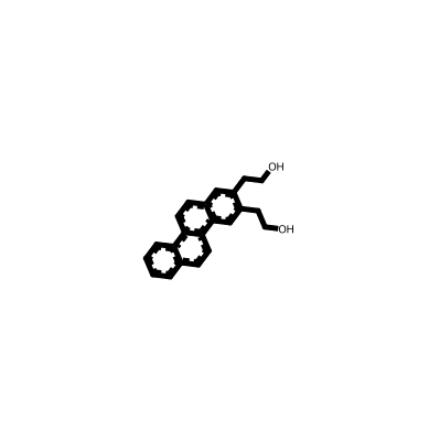 OCCc1cc2ccc3c4ccccc4ccc3c2cc1CCO